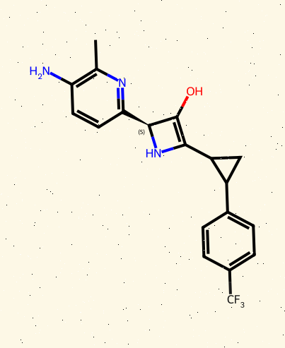 Cc1nc([C@@H]2NC(C3CC3c3ccc(C(F)(F)F)cc3)=C2O)ccc1N